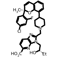 CC[C@H](O)Cn1c(CN2CCC(c3cccc4c3O[C@@](C)(c3ccc(Cl)cc3F)C=C4)CC2)nc2ccc(C(=O)O)nc21